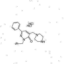 CC(C)Cn1nc(-c2ccccc2)cc(CN2CCNCC2)c1=O.Cl.Cl